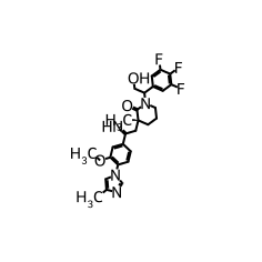 COc1cc(C(=N)C[C@@]2(C)CCCN(C(CO)c3cc(F)c(F)c(F)c3)C2=O)ccc1-n1cnc(C)c1